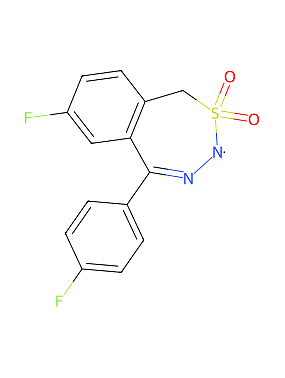 O=S1(=O)Cc2ccc(F)cc2C(c2ccc(F)cc2)=N[N]1